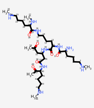 CNCCCCC(N)C(=O)NC(CCCCNC(=O)C(CCCCNC)NC)C(=O)NC(CC(C)=O)CC(=O)NC(CCCCNC)C(C)=O